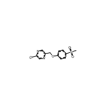 CS(=O)(=O)c1ccc(OCc2cnc(Cl)cn2)cc1